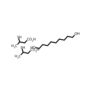 CC(S)CC(=O)O.CC(S)CC(=O)O.OCCCCCCCCCO